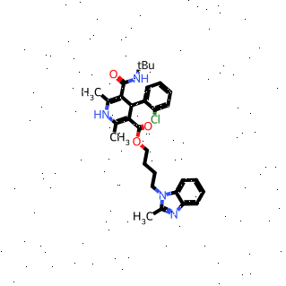 CC1=C(C(=O)NC(C)(C)C)C(c2ccccc2Cl)C(C(=O)OCCCCn2c(C)nc3ccccc32)=C(C)N1